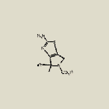 CC(C)[C@@]1(C)c2nc(N)sc2CN1C(=O)O